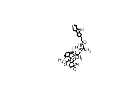 Cc1cccc(NCC(C)(C)COCC(C)(C)CNC(=O)CCc2ccc3c(c2)[nH]c2ccncc23)c1C(=O)N(C=O)C1CCC(=O)NC1=O